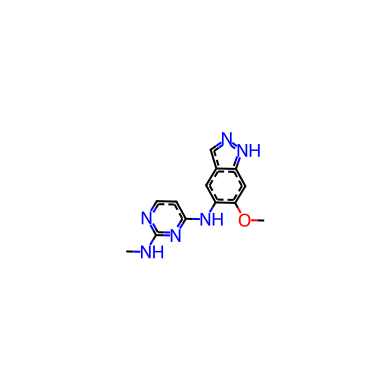 CNc1nccc(Nc2cc3cn[nH]c3cc2OC)n1